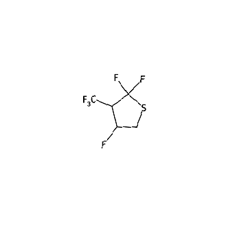 FC1CSC(F)(F)C1C(F)(F)F